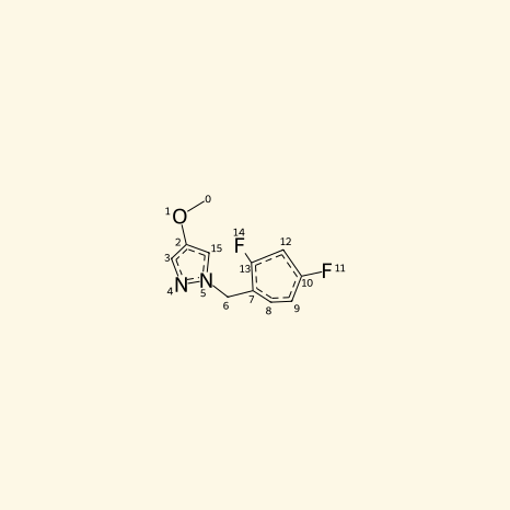 COc1cnn(Cc2ccc(F)cc2F)c1